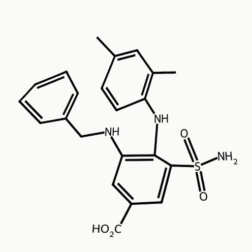 Cc1ccc(Nc2c(NCc3ccccc3)cc(C(=O)O)cc2S(N)(=O)=O)c(C)c1